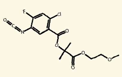 COCCOC(=O)C(C)(C)OC(=O)c1cc(N=C=O)c(F)cc1Cl